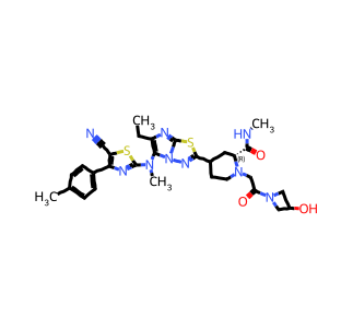 CCc1nc2sc(C3CCN(CC(=O)N4CC(O)C4)[C@@H](C(=O)NC)C3)nn2c1N(C)c1nc(-c2ccc(C)cc2)c(C#N)s1